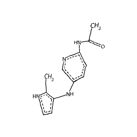 CC(=O)Nc1ccc(Nc2cc[nH]c2C)cn1